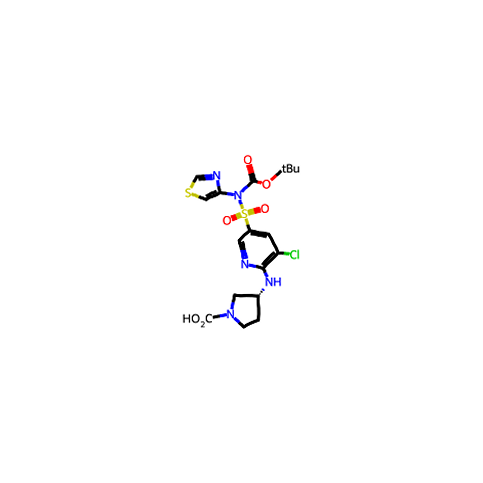 CC(C)(C)OC(=O)N(c1cscn1)S(=O)(=O)c1cnc(N[C@@H]2CCN(C(=O)O)C2)c(Cl)c1